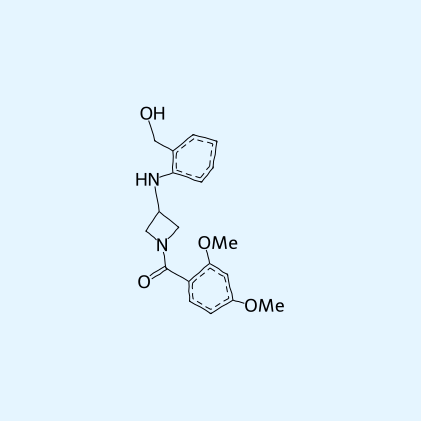 COc1ccc(C(=O)N2CC(Nc3ccccc3CO)C2)c(OC)c1